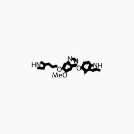 COc1cc2c(Oc3ccc4[nH]c(C)cc4c3F)ncnc2cc1OCCCC1CCNC1